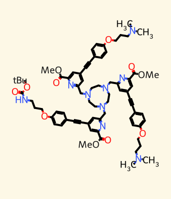 COC(=O)c1cc(C#Cc2ccc(OCCCNC(=O)OC(C)(C)C)cc2)cc(CN2CCN(Cc3cc(C#Cc4ccc(OCCCN(C)C)cc4)cc(C(=O)OC)n3)CCN(Cc3cc(C#Cc4ccc(OCCCN(C)C)cc4)cc(C(=O)OC)n3)CC2)n1